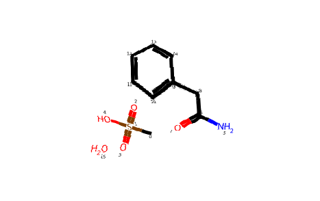 CS(=O)(=O)O.NC(=O)Cc1ccccc1.O